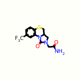 NC(=O)CN1CC2CSc3ccc(C(F)(F)F)cc3N2C1=O